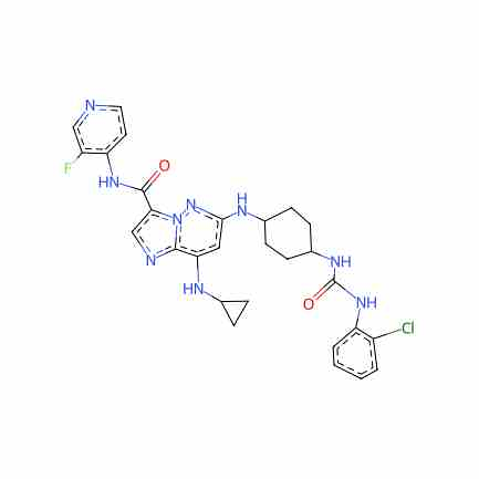 O=C(Nc1ccccc1Cl)NC1CCC(Nc2cc(NC3CC3)c3ncc(C(=O)Nc4ccncc4F)n3n2)CC1